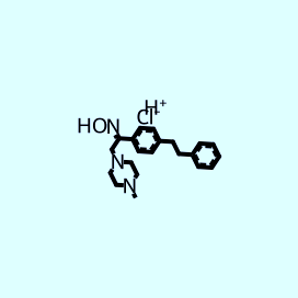 CN1CCN(C/C(=N\O)c2ccc(CCc3ccccc3)cc2)CC1.[Cl-].[H+]